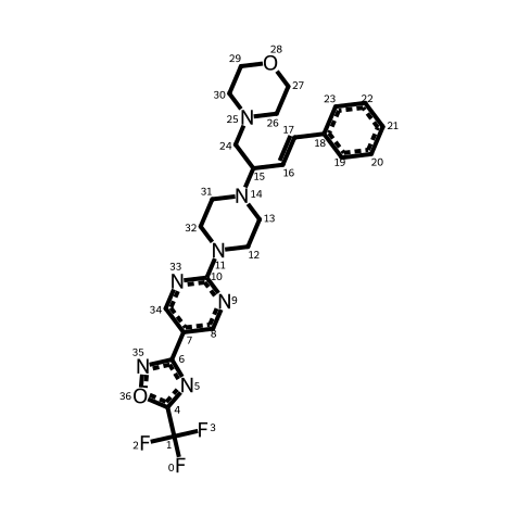 FC(F)(F)c1nc(-c2cnc(N3CCN(C(/C=C/c4ccccc4)CN4CCOCC4)CC3)nc2)no1